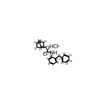 Cl.O=C(Nc1ccccc1Cc1ccccc1)OC1CN2CCC1CC2